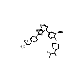 CN(C)Cc1ccc(-c2nc3c(-c4ccc(OC5CCN(C(=O)C(F)F)CC5)c(C#N)c4)ncnc3[nH]2)cc1